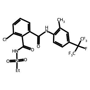 CCS(=O)(=O)NC(=O)c1c(Cl)cccc1C(=O)Nc1ccc(C(F)(C(F)(F)F)C(F)(F)F)cc1C